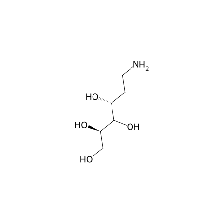 NCC[C@@H](O)C(O)[C@H](O)CO